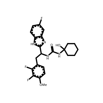 COc1ccc(CC(NC(=O)NC2(O)CCCCC2)c2nc3cc(F)ccc3[nH]2)c(F)c1F